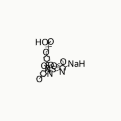 COc1ccc2c(c1)nc([S+]([O-])Cc1ncc(C)c(OC)c1C)n2S(=O)(=O)c1ccc(OCC(C)(C)C(=O)O)cc1.[NaH]